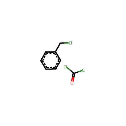 ClCc1ccccc1.O=C(Cl)Cl